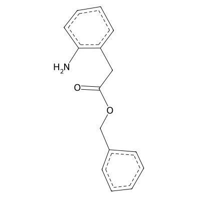 Nc1ccccc1CC(=O)OCc1ccccc1